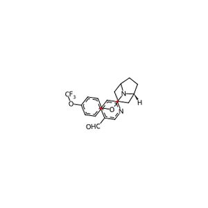 O=Cc1ccc(N2C3CC[C@@H]2CC(Oc2ccc(OC(F)(F)F)cc2)C3)nc1